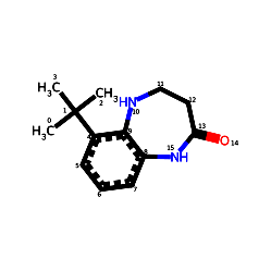 CC(C)(C)c1cccc2c1NCCC(=O)N2